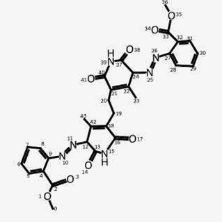 COC(=O)c1ccccc1N=NC1C(=O)NC(=O)C(CCC2=C(C)C(N=Nc3ccccc3C(=O)OC)C(=O)NC2=O)=C1C